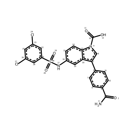 NC(=O)c1ccc(-c2cn(C(=O)O)c3ccc(NS(=O)(=O)c4cc(Cl)cc(Cl)c4)cc23)cc1